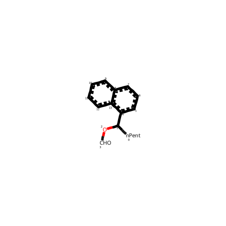 CCCCCC(OC=O)c1cccc2ccccc12